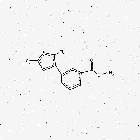 COC(=O)c1cccc(-c2cc(Cl)sc2Cl)c1